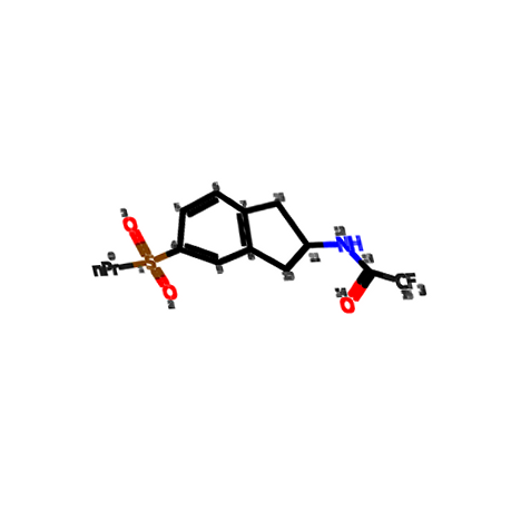 CCCS(=O)(=O)c1ccc2c(c1)CC(NC(=O)C(F)(F)F)C2